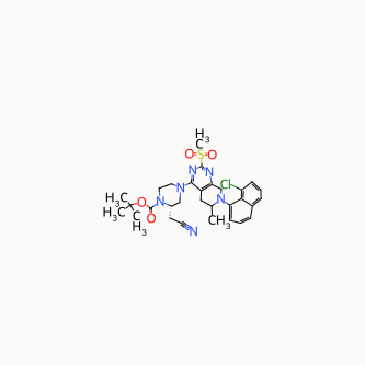 CC1Cc2c(nc(S(C)(=O)=O)nc2N2CCN(C(=O)OC(C)(C)C)[C@@H](CC#N)C2)CN1c1cccc2cccc(Cl)c12